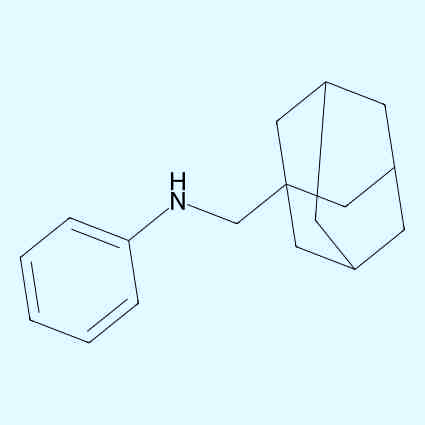 c1ccc(NCC23CC4CC(CC(C4)C2)C3)cc1